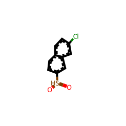 O=[SH](=O)c1ccc2ccc(Cl)cc2c1